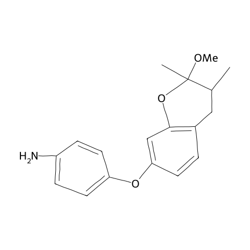 COC1(C)Oc2cc(Oc3ccc(N)cc3)ccc2CC1C